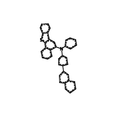 c1ccc(N(c2ccc(-c3ccc4ccccc4c3)cc2)c2cc3c4ccccc4sc3c3ccccc23)cc1